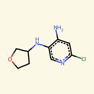 Nc1cc(Cl)ncc1NC1CCOC1